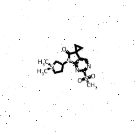 C[Si]1(C)CCC(N2C(=O)C3(CC3)c3cnc(S(C)(=O)=O)nc32)C1